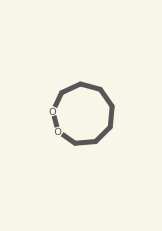 [CH]1CCCCCCOO1